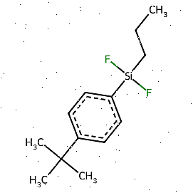 CCC[Si](F)(F)c1ccc(C(C)(C)C)cc1